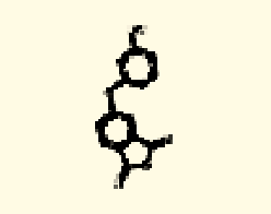 CC(=O)Oc1cccc(Oc2ccc3c(c2)C(=O)OC3=O)c1